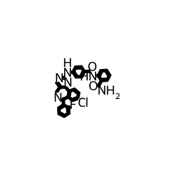 NC(=O)c1ccccc1NC(=O)c1ccc(Nc2ncc3c(n2)-c2ccc(Cl)cc2C(c2ccccc2F)=NC3)cc1